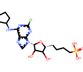 O=P(O)(O)CCCC[C@H]1O[C@@H](n2cnc3c(NC4CCCC4)nc(Cl)nc32)C(O)C1O